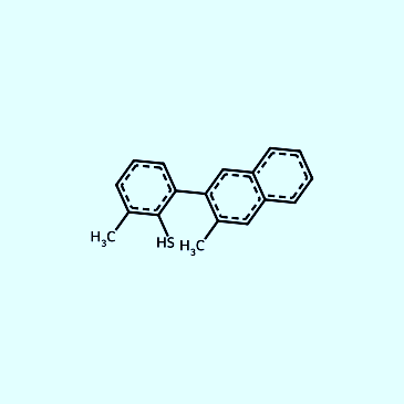 Cc1cc2ccccc2cc1-c1cccc(C)c1S